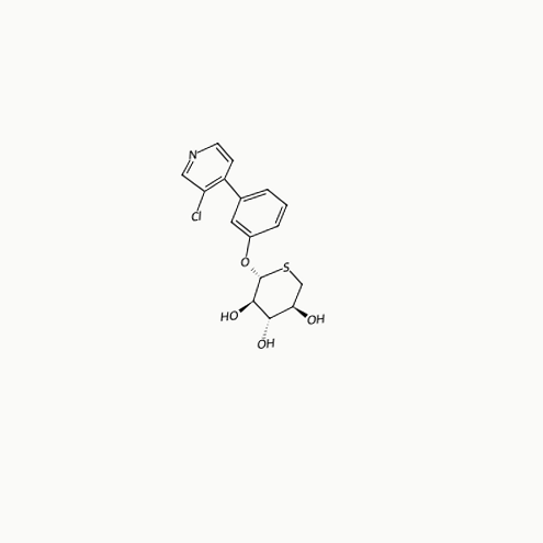 O[C@@H]1[C@@H](O)[C@H](Oc2cccc(-c3ccncc3Cl)c2)SC[C@H]1O